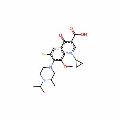 COc1c(N2CCN(C(C)C)C(C)C2)c(F)cc2c(=O)c(C(=O)O)cn(C3CC3)c12